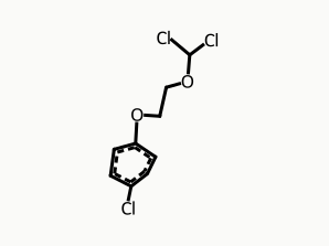 Clc1ccc(OCCOC(Cl)Cl)cc1